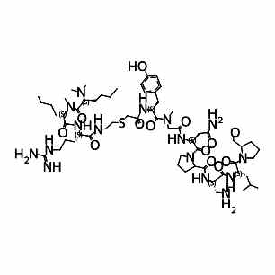 CCCC[C@@H](C(=O)N(C)[C@@H](CCCC)C(=O)N[C@@H](CCCNC(=N)N)C(=O)NCCSCC(=O)N[C@@H](Cc1ccc(O)cc1)C(=O)N(C)CC(=O)N[C@@H](CC(N)=O)C(=O)N1CCCC1C(=O)N[C@@H](CN)C(=O)N[C@@H](CC(C)C)C(=O)N1CCCC1C=O)N(C)C